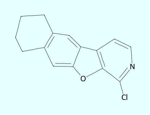 Clc1nccc2c1oc1cc3c(cc12)CCCC3